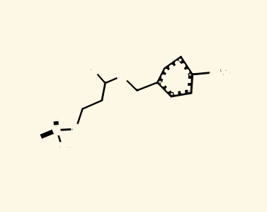 COc1ccc(COC(C)CCOS(C)(=O)=O)cc1